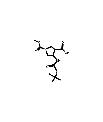 COC(=O)N1CC(NC(=O)OC(C)(C)C)C(C(=O)O)C1